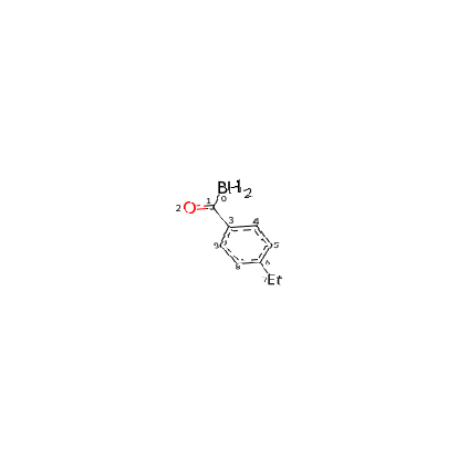 BC(=O)c1ccc(CC)cc1